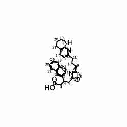 O=C(O)CC(Cc1nc(CCCc2ccc3c(n2)NCCC3)no1)c1cnc2ccccc2c1